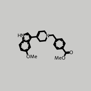 COC(=O)c1ccc(CN2CC=C(c3c[nH]c4ccc(OC)cc34)CC2)cc1